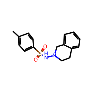 Cc1ccc(S(=O)(=O)NN2CCc3ccccc3C2)cc1